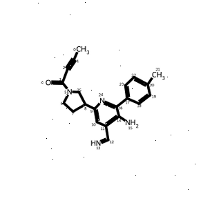 CC#CC(=O)N1CCC(c2cc(C=N)c(N)c(-c3ccc(C)cc3)n2)C1